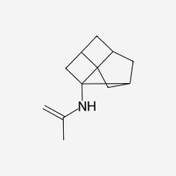 C=C(C)NC12CC3CC4CC1CC432